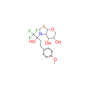 COc1ccc(CCC(O)(N2CSC3OCC(O)C(O)C32)C(F)(F)F)cc1